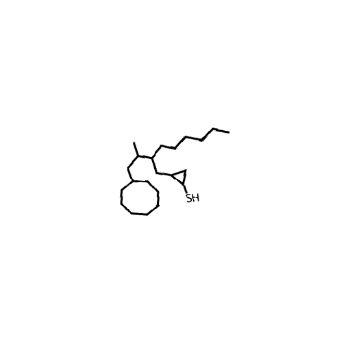 CCCCCCC(CC1CC1S)C(C)CC1CCCCCCC1